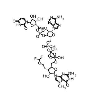 CO[C@@H]1[C@H](OP(=O)([O-])OC[C@H]2O[C@@H](n3ccc(=O)[nH]c3=O)[C@H](O)[C@@H]2O)[C@@H](COP(=O)(O)OP(=O)(O)OP(=O)(O)OC[C@H]2O[C@@H](n3c[n+](C)c4c(=O)[nH]c(N)nc43)[C@H](O)[C@@H]2CCOC(F)F)O[C@H]1n1cnc2c(N)ncnc21